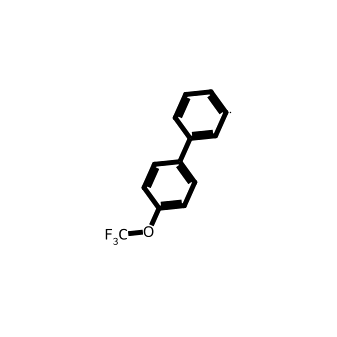 FC(F)(F)Oc1ccc(-c2c[c]ccc2)cc1